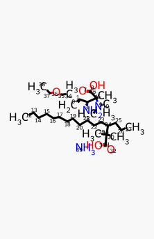 C=CC(N)C(C)(C(=O)O)N(C)C.CCCCCCCCCCCCC(CCC)C(C)(C)C(=O)O.CCOCC.N